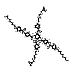 CCCCCCCCOc1ccc(C(=O)Oc2ccc(C(=O)Oc3cc(OC(=O)c4ccc(OCCCCOCC5CO5)cc4)c(OC(=O)c4ccc(OC(=O)c5ccc(OCCCCCCCC)cc5)cc4)cc3OC(=O)c3ccc(OCCCCOCC4CC4)cc3)cc2)cc1